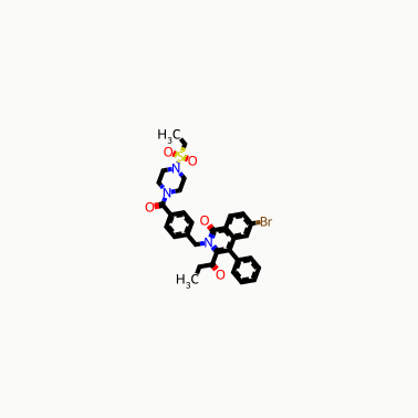 CCC(=O)c1c(-c2ccccc2)c2cc(Br)ccc2c(=O)n1Cc1ccc(C(=O)N2CCN(S(=O)(=O)CC)CC2)cc1